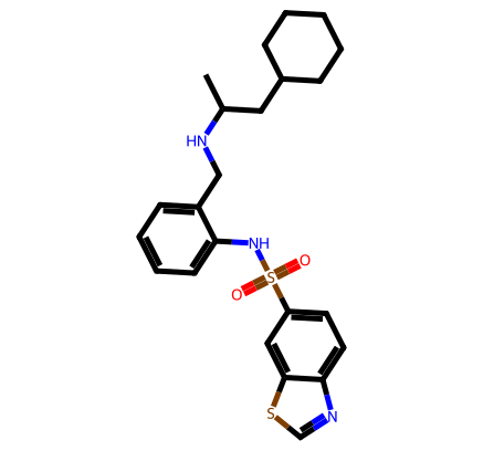 CC(CC1CCCCC1)NCc1ccccc1NS(=O)(=O)c1ccc2ncsc2c1